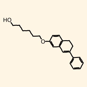 OCCCCCCOc1ccc2c(c1)C=C(c1ccccc1)CC2